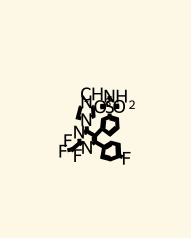 CN1CCN(c2nc(C(F)(F)F)nc(-c3ccc(F)cc3)c2-c2cccc(S(N)(=O)=O)c2)CC1